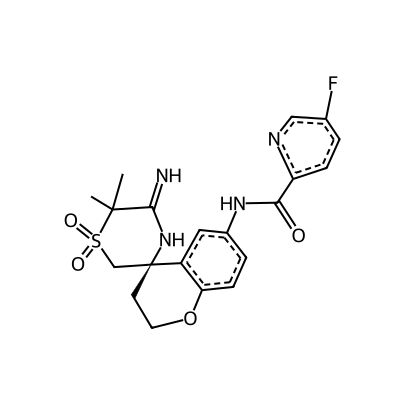 CC1(C)C(=N)N[C@@]2(CCOc3ccc(NC(=O)c4ccc(F)cn4)cc32)CS1(=O)=O